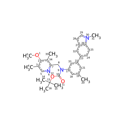 COc1c(C)cnc(CN(C(=O)OC(C)(C)C)c2cc(C)cc(-c3ccc4c(ccn4C)c3)c2)c1C